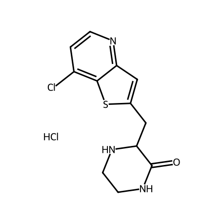 Cl.O=C1NCCNC1Cc1cc2nccc(Cl)c2s1